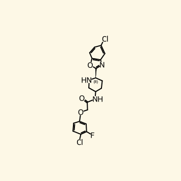 O=C(COc1ccc(Cl)c(F)c1)NC1CC[C@H](c2nc3cc(Cl)ccc3o2)NC1